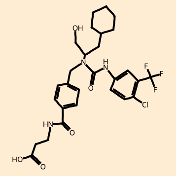 O=C(O)CCNC(=O)c1ccc(CN(C(=O)Nc2ccc(Cl)c(C(F)(F)F)c2)C(CO)CC2CCCCC2)cc1